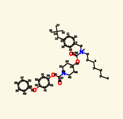 CCCCCCCN(Cc1ccc(CC(C)(C)C)cc1)C(=O)OC1CCN(C(=O)Oc2ccc(Oc3ccccc3)cc2)CC1